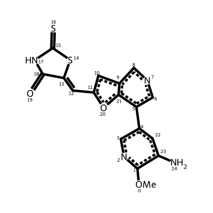 COc1ncc(-c2cncc3cc(/C=C4\SC(=S)NC4=O)oc23)cc1N